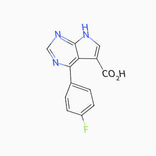 O=C(O)c1c[nH]c2ncnc(-c3ccc(F)cc3)c12